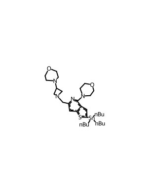 CCC[CH2][Sn]([CH2]CCC)([CH2]CCC)[c]1cc2c(N3CCOCC3)nc(CN3CC(N4CCOCC4)C3)cc2s1